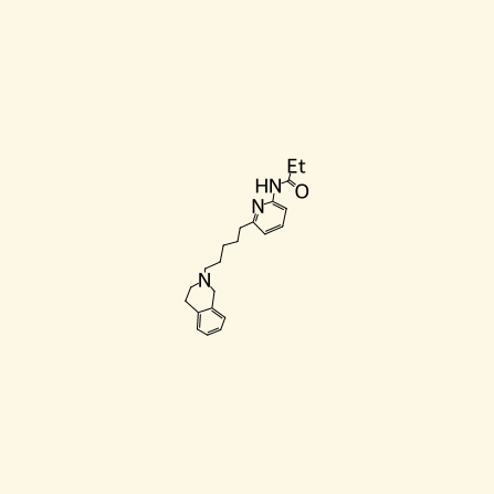 CCC(=O)Nc1cccc(CCCCCN2CCc3ccccc3C2)n1